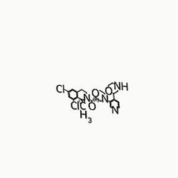 C[C@H]1c2c(Cl)cc(Cl)cc2CCN1C(=O)[C@H]1CN(c2cnccc2C2CNCCO2)CCO1